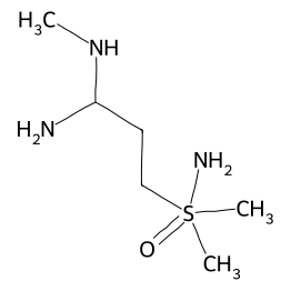 CNC(N)CCS(C)(C)(N)=O